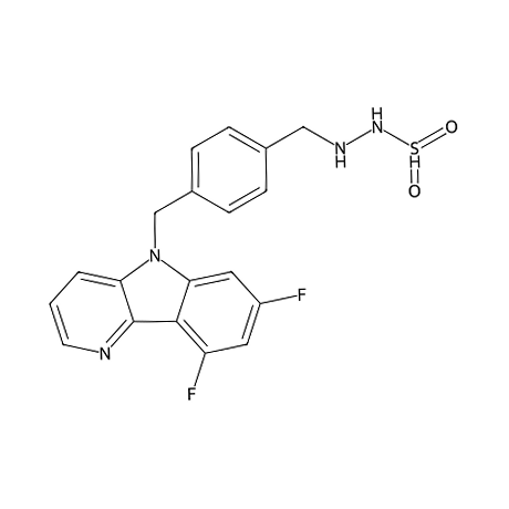 O=[SH](=O)NNCc1ccc(Cn2c3cccnc3c3c(F)cc(F)cc32)cc1